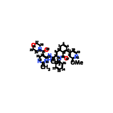 COc1cc(-c2cccc3cc([C@H](C)Nc4nc(C)ncc4C(=O)N4CCOCC4)n(-c4ccccc4)c(=O)c23)ccn1